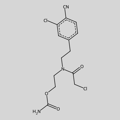 N#Cc1ccc(CCN(CCOC(N)=O)C(=O)CCl)cc1Cl